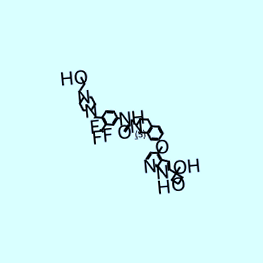 C[C@H]1c2cc(Oc3ccnc4[nH]c(C5(O)COC5)cc34)ccc2CCN1C(=O)Nc1ccc(CN2CCN(CCO)CC2)c(C(F)(F)F)c1